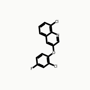 Fc1ccc(Oc2cnc3c(Cl)cccc3c2)c(Cl)c1